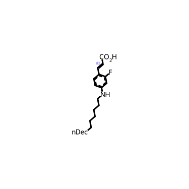 CCCCCCCCCCCCCCCCNc1ccc(/C=C/C(=O)O)c(F)c1